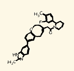 Cc1nc2ccc(-c3ccc4c(c3)C/C=C(/CC(=O)N3CCCCC3c3ccc(C)c(F)c3)CCO4)cc2[nH]1